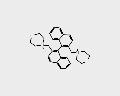 C[N+]1(Cc2ccc3ccccc3c2-c2c(C[N+]3(C)CCOCC3)ccc3ccccc23)CCOCC1